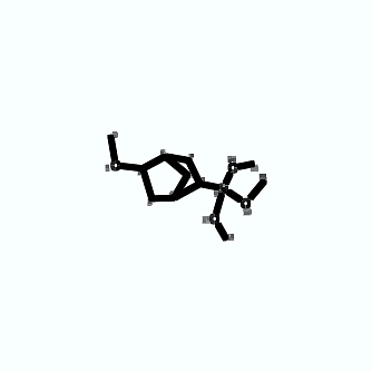 COC1CC2CC1CC2[Si](OC)(OC)OC